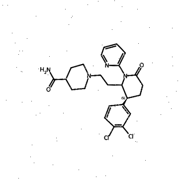 NC(=O)C1CCN(CCC2[C@H](c3ccc(Cl)c(Cl)c3)CCC(=O)N2c2ccccn2)CC1